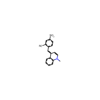 CN1C=CC(=Cc2ccc([N+](=O)[O-])cc2C#N)c2ccccc21